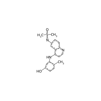 Cc1ccc(O)cc1Nc1ccnc2ccc(N=S(C)(C)=O)cc12